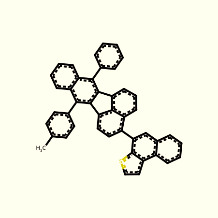 Cc1ccc(-c2c3c(c(-c4ccccc4)c4ccccc24)-c2cccc4c(-c5cc6ccccc6c6ccsc56)ccc-3c24)cc1